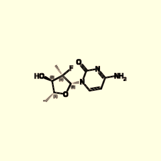 [CH2][C@H]1O[C@@H](n2ccc(N)nc2=O)[C@](C)(F)[C@@H]1O